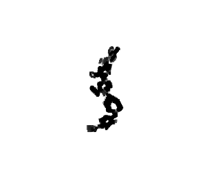 CC[C@H]1CN(c2ncc(NS(C)(=O)=O)cc2Cl)CCN1C1CCN(Cc2ccc(Br)cc2F)CC1